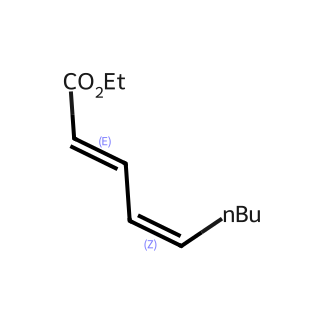 CCCC/C=C\C=C\C(=O)OCC